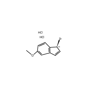 COc1ccc2c(c1)C=C[C@@H]2[Zr].Cl.Cl